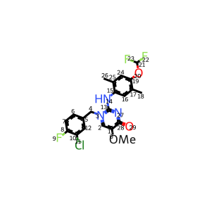 COc1cn(Cc2ccc(F)c(Cl)c2)c(Nc2cc(C)c(OC(F)F)cc2C)nc1=O